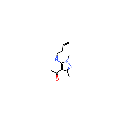 C=CC/C=N\c1c(C(C)=O)c(C)nn1C